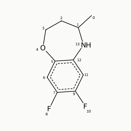 CC1CCOc2cc(F)c(F)cc2N1